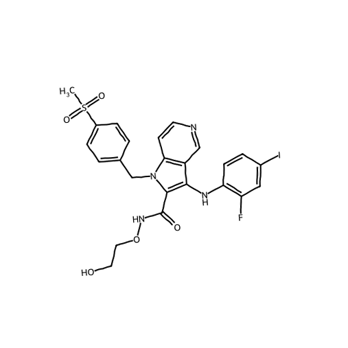 CS(=O)(=O)c1ccc(Cn2c(C(=O)NOCCO)c(Nc3ccc(I)cc3F)c3cnccc32)cc1